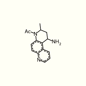 CC(=O)N1c2ccc3ncccc3c2C(N)CC1C